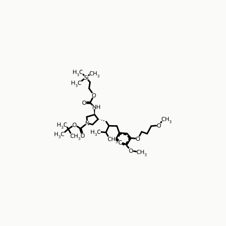 COCCCOc1cc(CC(C[C@@H]2CN(C(=O)OC(C)(C)C)C[C@H]2NC(=O)OCC[Si](C)(C)C)C(C)C)ccc1OC